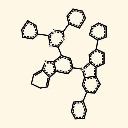 C1=c2sc3c(-c4nc(-c5ccccc5)nc(-c5ccccc5)n4)cc(-n4c5cc(-c6ccccc6)ccc5c5ccc(-c6ccccc6)cc54)cc3c2=CCC1